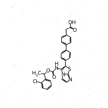 CC(OC(=O)Nc1c(-c2ccc(-c3ccc(CC(=O)O)cc3)cc2)sc2nccn12)c1ccccc1Cl